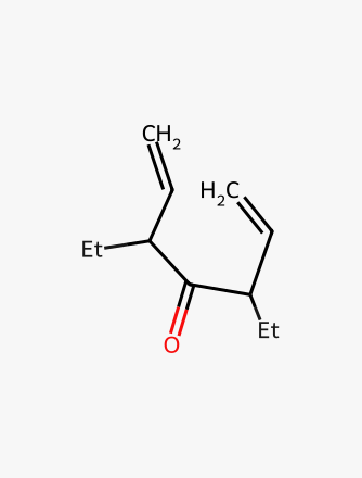 C=CC(CC)C(=O)C(C=C)CC